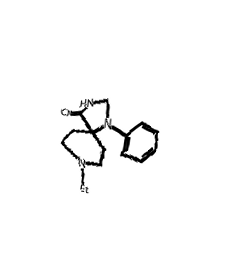 CCN1CCC2(CC1)C(=O)NCN2c1ccccc1